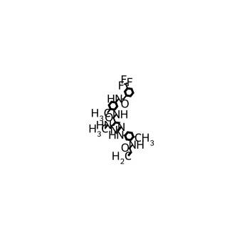 C=CC(=O)Nc1cc(Nc2ncc(C(=O)Nc3cc(NC(=O)c4cccc(C(F)(F)F)c4)ccc3C)c(NC)n2)ccc1C